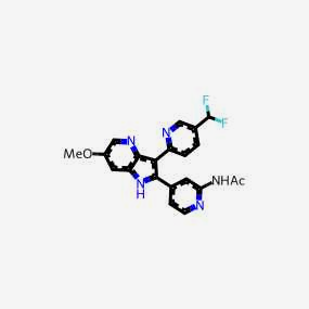 COc1cnc2c(-c3ccc(C(F)F)cn3)c(-c3ccnc(NC(C)=O)c3)[nH]c2c1